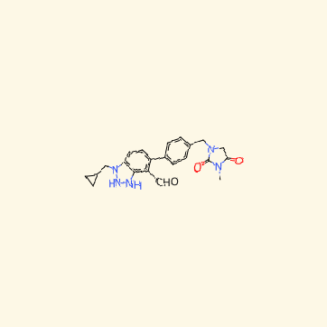 CN1C(=O)CN(Cc2ccc(-c3ccc4c(c3C=O)NNN4CC3CC3)cc2)C1=O